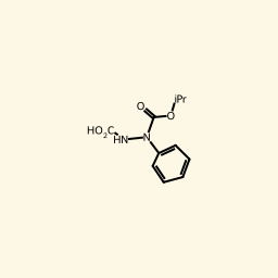 CC(C)OC(=O)N(NC(=O)O)c1ccccc1